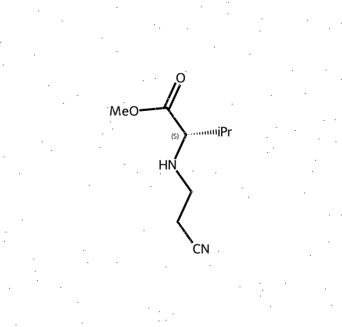 COC(=O)[C@@H](NCCC#N)C(C)C